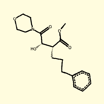 COC(=O)[C@H](CCCc1ccccc1)[C@H](O)C(=O)N1CCOCC1